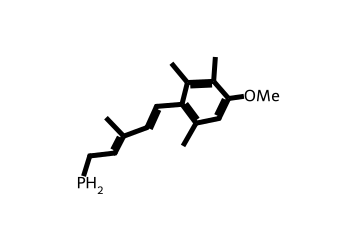 COc1cc(C)c(/C=C/C(C)=C/CP)c(C)c1C